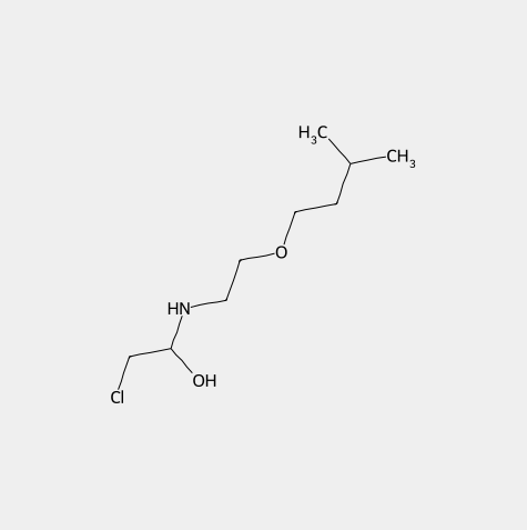 CC(C)CCOCCNC(O)CCl